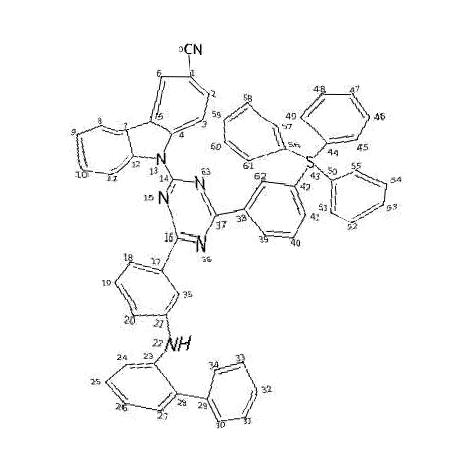 N#Cc1ccc2c(c1)c1ccccc1n2-c1nc(-c2cccc(Nc3ccccc3-c3ccccc3)c2)nc(-c2cccc(S(c3ccccc3)(c3ccccc3)c3ccccc3)c2)n1